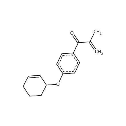 C=C(C)C(=O)c1ccc(OC2C=CCCC2)cc1